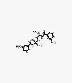 CCS(NC(=O)C1=CN(C)C=CC1)(SCC(NC(=O)C1=CN(C)C=CC1)C(=O)O)C(=O)O